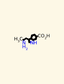 CC(N)Cc1c[nH]c2cc(C(=O)O)ccc12